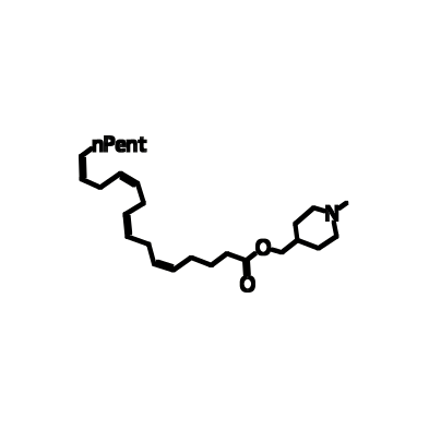 CCCCC/C=C\C/C=C\C/C=C\C/C=C\CCCC(=O)OCC1CCN(C)CC1